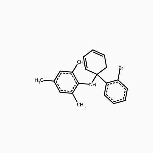 Cc1cc(C)c(NC2(c3ccccc3Br)C=CC=CC2)c(C)c1